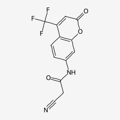 N#CCC(=O)Nc1ccc2c(C(F)(F)F)cc(=O)oc2c1